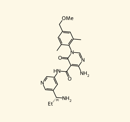 CC[C@@H](N)c1cncc(NC(=O)c2c(N)ncn(-c3c(C)cc(COC)cc3C)c2=O)c1